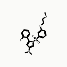 COCCOc1cccc(S(=O)(=O)n2cc(N(C)C)cc2-c2ccccc2F)c1